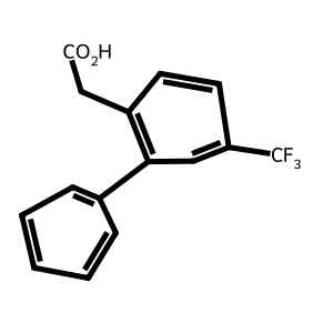 O=C(O)Cc1ccc(C(F)(F)F)cc1-c1ccccc1